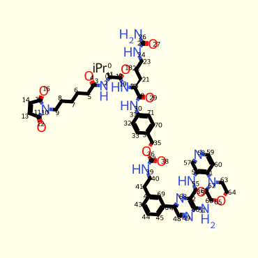 CC(C)[C@H](NC(=O)CCCCCN1C(=O)C=CC1=O)C(=O)N[C@@H](CCCNC(N)=O)C(=O)Nc1ccc(COC(=O)NCCc2cccc(-c3cnc(N)c(C(=O)Nc4cnccc4N4CCOCC4)n3)c2)cc1